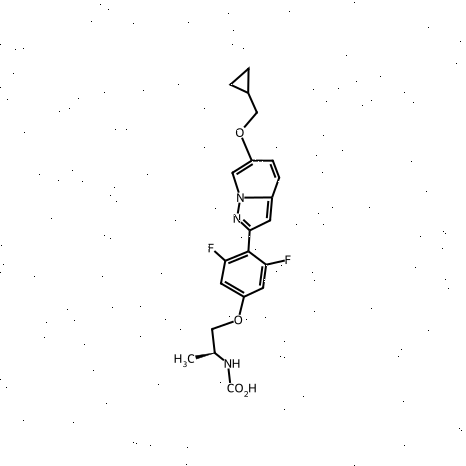 C[C@@H](COc1cc(F)c(-c2cc3ccc(OCC4CC4)cn3n2)c(F)c1)NC(=O)O